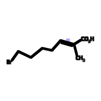 C/C(=C\CCCCBr)C(=O)O